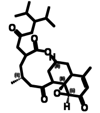 CC1=CC(=O)[C@H]2O[C@]23C2C[C@@H](CC13)OC(=O)C(CC(=O)CC(C(C)C)C(C)C)C[C@@H](C)CC2=O